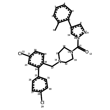 Cc1ccccc1-c1cnn(C(=O)N2CCN(Cc3ccc(Cl)cc3-c3ccc(Cl)cc3)CC2)c1